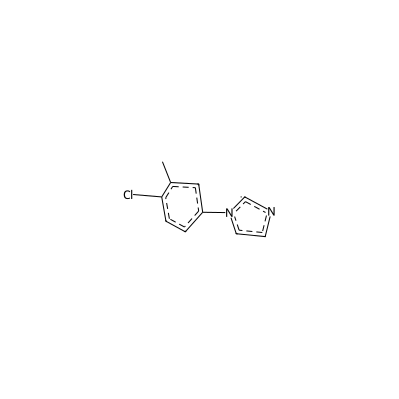 Cc1cc(-n2[c]ncc2)ccc1Cl